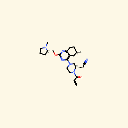 C=CC(=O)N1CCN(c2nc(OC[C@@H]3CCCN3C)nc3c2C[C@H](C)CC3)C[C@@H]1CC#N